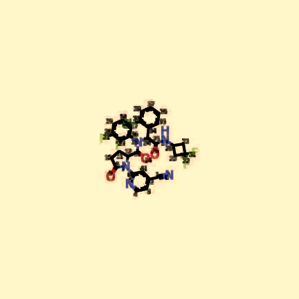 N#Cc1ccnc(N2C(=O)CCC2C(=O)N(c2cccc(F)c2F)[C@H](C(=O)NC2CC(F)(F)C2)c2ccccc2Cl)c1